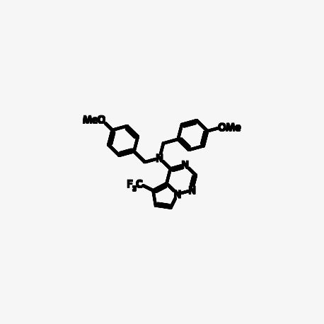 COc1ccc(CN(Cc2ccc(OC)cc2)c2ncnn3ccc(C(F)(F)F)c23)cc1